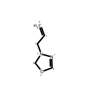 C=CCN1COC=N1